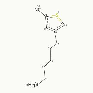 CCCCCCCCCCCCc1csc(C#N)c1